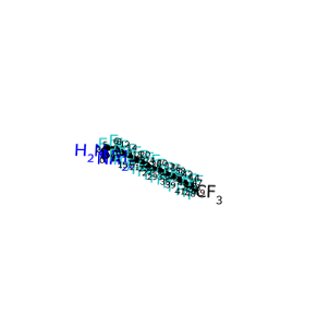 N[Si](N)(N)C(F)(F)C(F)(F)C(F)(F)C(F)(F)C(F)(F)C(F)(F)C(F)(F)C(F)(F)C(F)(F)C(F)(F)C(F)(F)C(F)(F)C(F)(F)C(F)(F)C(F)(F)C(F)(F)F